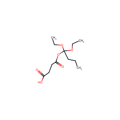 CCCC(OCC)(OCC)OC(=O)CCC(=O)O